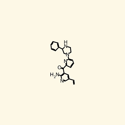 C=Cc1cnc(N)c(C(=O)c2cccc(N3CCNC(c4ccccc4)C3)n2)c1